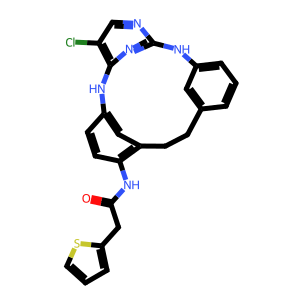 O=C(Cc1cccs1)Nc1ccc2cc1CCc1cccc(c1)Nc1ncc(Cl)c(n1)N2